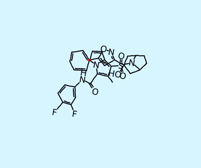 Cc1c(S(=O)(=O)N2C3CCC2CC(O)(c2cc(-c4ccccc4)on2)C3)c2n(c1C(=O)Nc1ccc(F)c(F)c1)CC=C2